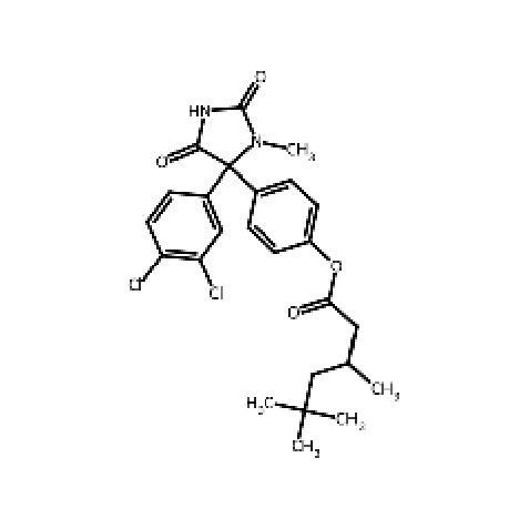 CC(CC(=O)Oc1ccc(C2(c3ccc(Cl)c(Cl)c3)C(=O)NC(=O)N2C)cc1)CC(C)(C)C